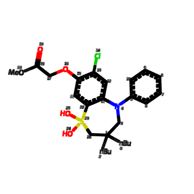 CCCCC1(CCCC)CN(c2ccccc2)c2cc(Cl)c(OCC(=O)OC)cc2S(O)(O)C1